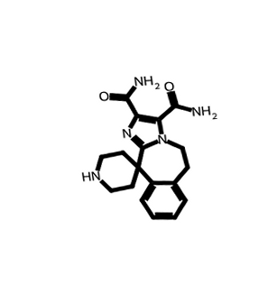 NC(=O)c1nc2n(c1C(N)=O)CCc1ccccc1C21CCNCC1